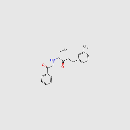 CC(=O)C[C@@H](NCC(=O)c1ccccc1)C(=O)CCc1cccc(C(F)(F)F)c1